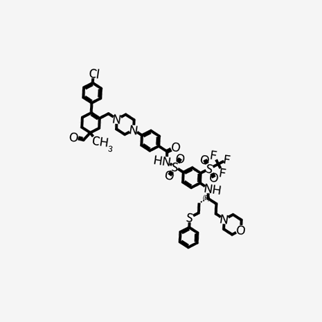 CC1(C=O)CCC(c2ccc(Cl)cc2)=C(CN2CCN(c3ccc(C(=O)NS(=O)(=O)c4ccc(N[C@@H](CCSc5ccccc5)CCN5CCOCC5)c(S(=O)(=O)C(F)(F)F)c4)cc3)CC2)C1